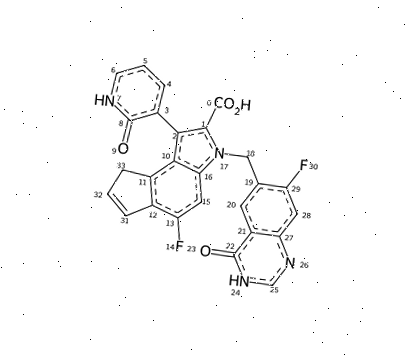 O=C(O)c1c(-c2ccc[nH]c2=O)c2c3c(c(F)cc2n1Cc1cc2c(=O)[nH]cnc2cc1F)C=CC3